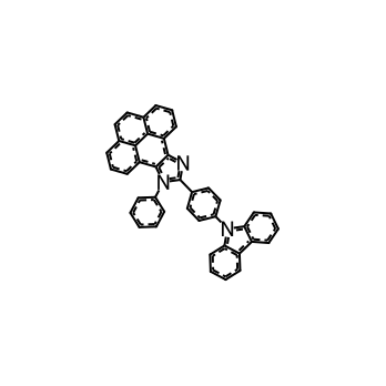 c1ccc(-n2c(-c3ccc(-n4c5ccccc5c5ccccc54)cc3)nc3c4cccc5ccc6cccc(c6c54)c32)cc1